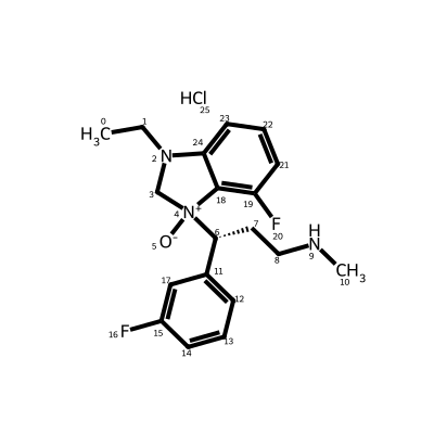 CCN1C[N+]([O-])([C@H](CCNC)c2cccc(F)c2)c2c(F)cccc21.Cl